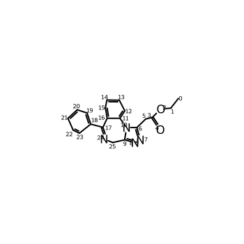 CCOC(=O)Cc1nnc2n1-c1ccccc1C(c1ccccc1)=NC2